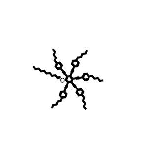 CCCCCCCCCC=COc1c(C#Cc2ccc(CCCCC)cc2)c(C#Cc2ccc(CCCCC)cc2)c(C#Cc2ccc(CCCCC)cc2)c(C#Cc2ccc(CCCCC)cc2)c1C#Cc1ccc(CCCCC)cc1